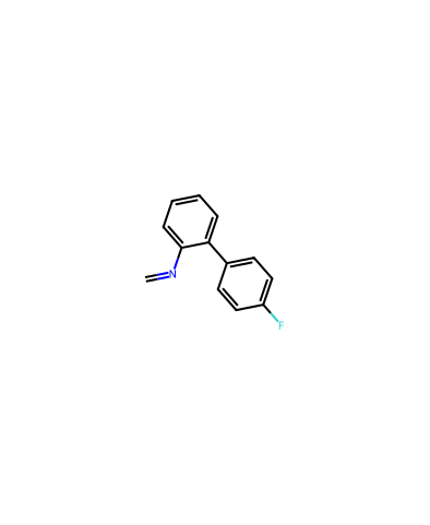 C=Nc1ccccc1-c1ccc(F)cc1